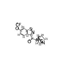 O=C(c1nsc2cc(OC(F)(F)F)ccc12)N1CCN2CCC1CC2